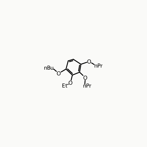 CCCCOc1ccc(OCCC)c(OCCC)c1OCC